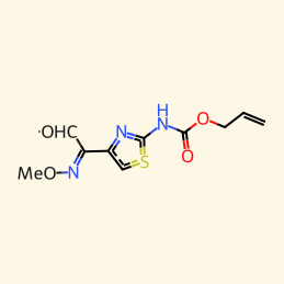 C=CCOC(=O)Nc1nc(/C([C]=O)=N/OC)cs1